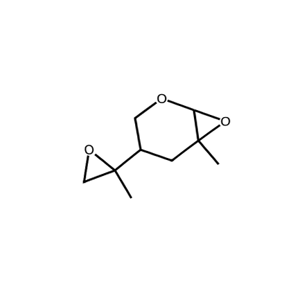 CC1(C2COC3OC3(C)C2)CO1